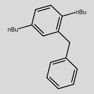 CCCCc1ccc(CCCC)c(Cc2ccccc2)c1